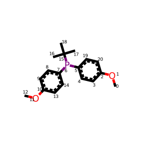 COc1ccc(P(c2ccc(OC)cc2)C(C)(C)C)cc1